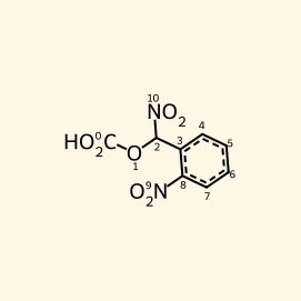 O=C(O)OC(c1ccccc1[N+](=O)[O-])[N+](=O)[O-]